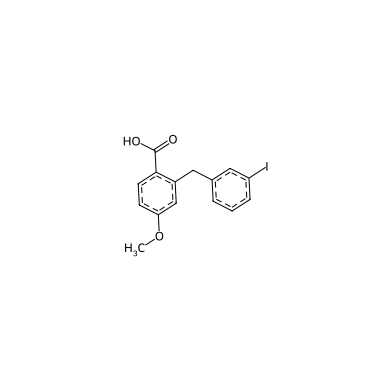 COc1ccc(C(=O)O)c(Cc2cccc(I)c2)c1